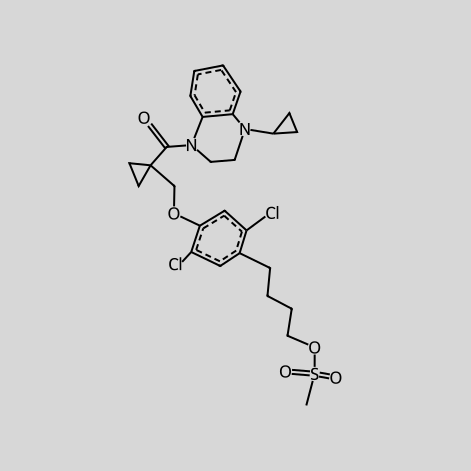 CS(=O)(=O)OCCCCc1cc(Cl)c(OCC2(C(=O)N3CCN(C4CC4)c4ccccc43)CC2)cc1Cl